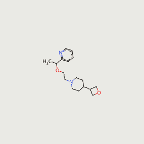 CC(OCCN1CCC(C2COC2)CC1)c1ccccn1